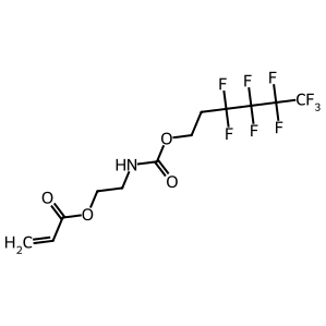 C=CC(=O)OCCNC(=O)OCCC(F)(F)C(F)(F)C(F)(F)C(F)(F)F